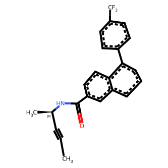 CC#C[C@@H](C)NC(=O)c1ccc2c(-c3ccc(C(F)(F)F)cc3)cccc2c1